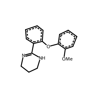 COc1ccccc1Oc1ccccc1C1=NCCCN1